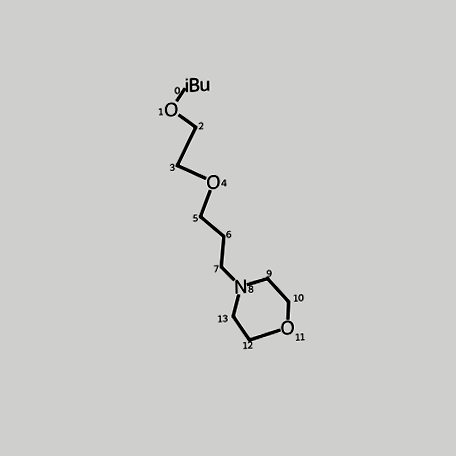 CCC(C)OCCOCCCN1CCOCC1